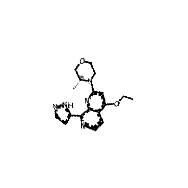 CCOc1cc(N2CCOC[C@H]2C)nc2c(-c3ccn[nH]3)nccc12